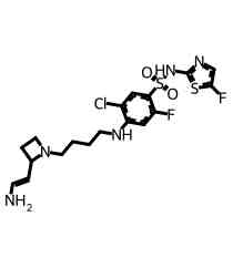 N/C=C/C1CCN1CCCCNc1cc(F)c(S(=O)(=O)Nc2ncc(F)s2)cc1Cl